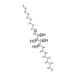 CCCCCCCCCOCC(O)C(O)C(O)C(O)CCCCCCCCC